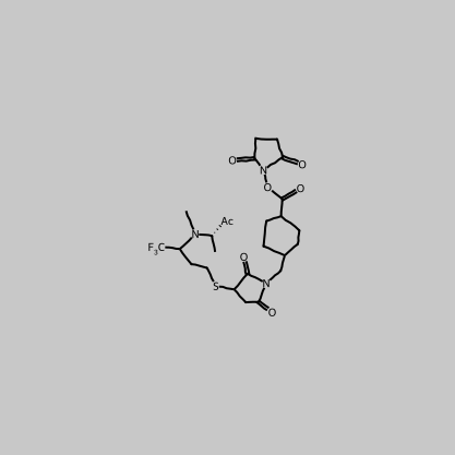 CC(=O)[C@H](C)N(C)C(CCSC1CC(=O)N(CC2CCC(C(=O)ON3C(=O)CCC3=O)CC2)C1=O)C(F)(F)F